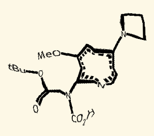 COc1cc(N2CCC2)cnc1N(C(=O)O)C(=O)OC(C)(C)C